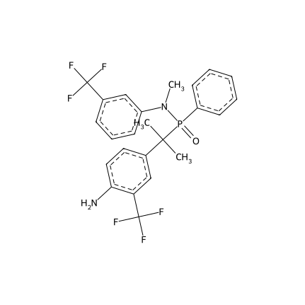 CN(c1cccc(C(F)(F)F)c1)P(=O)(c1ccccc1)C(C)(C)c1ccc(N)c(C(F)(F)F)c1